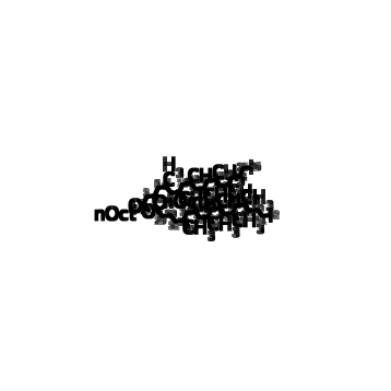 CCCCCCCCOC(CCCC(C)CC(C)CC(C)CC(C)CC(C)CC(C)CCCI)OC(CCCC(C)CC(C)CC(C)CC(C)CC(C)CC(C)CCCI)OCCCCCCCC